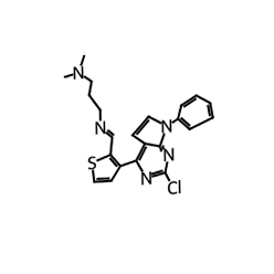 CN(C)CCC/N=C/c1sccc1-c1nc(Cl)nc2c1ccn2-c1ccccc1